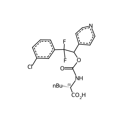 CCCC[C@H](NC(=O)OC(c1ccncc1)C(F)(F)c1cccc(Cl)c1)C(=O)O